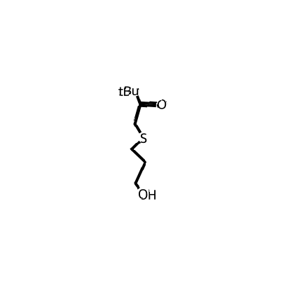 CC(C)(C)C(=O)CSCCCO